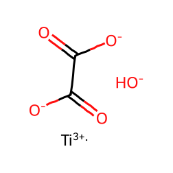 O=C([O-])C(=O)[O-].[OH-].[Ti+3]